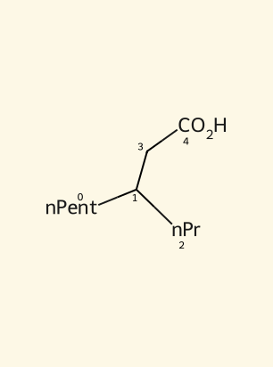 CCCCCC(CCC)CC(=O)O